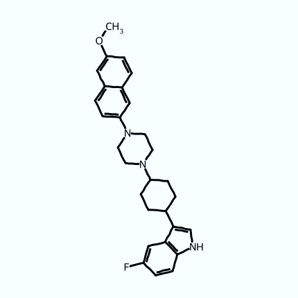 COc1ccc2cc(N3CCN(C4CCC(c5c[nH]c6ccc(F)cc56)CC4)CC3)ccc2c1